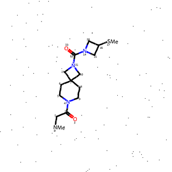 CNCC(=O)N1CCC2(CC1)CN(C(=O)N1CC(SC)C1)C2